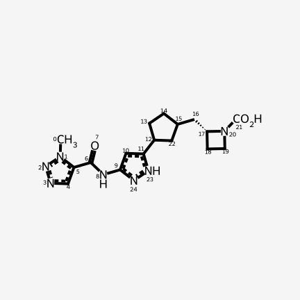 Cn1nncc1C(=O)Nc1cc(C2CCC(C[C@H]3CCN3C(=O)O)C2)[nH]n1